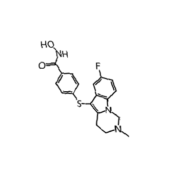 CN1CCc2c(Sc3ccc(C(=O)NO)cc3)c3cc(F)ccc3n2C1